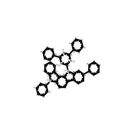 c1ccc(-c2ccc3c4ccc5c(c6ccccc6n5-c5ccccc5)c4n(-c4nc(-c5ccccc5)nc(-c5ccccc5)n4)c3c2)cc1